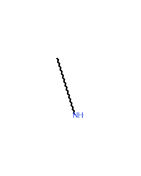 CCCCCCCCCCCCCCCCCCCCCCCCCCCCC[NH]